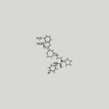 Cc1cccc(CO[C@H]2CCC[C@@H](OCCN(C(=O)Nc3ccc(F)cc3)C3CCCC3)C2)c1C(=O)O